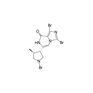 C[C@@H]1CN(Br)C[C@H]1c1cn2c(Br)nc(Br)c2c(=O)[nH]1